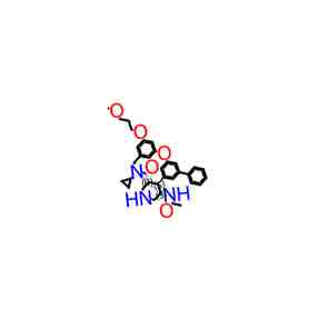 COCCCOc1cc(CN(C(=O)[C@H]2CNC[C@@H](NC(C)=O)[C@@H]2c2cccc(-c3ccccc3)c2)C2CC2)cc(OC)c1